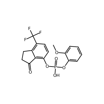 COc1ccccc1OP(=O)(O)Oc1ccc(C(F)(F)F)c2c1C(=O)CC2